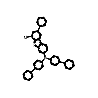 Clc1cc(-c2ccccc2)cc2c1sc1cc(N(c3ccc(-c4ccccc4)cc3)c3ccc(-c4ccccc4)cc3)ccc12